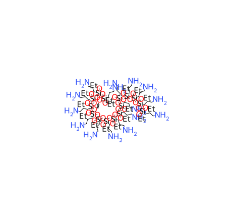 C#CO[Si](CCCN)(OCC)O[Si](CCCN)(OCC)O[Si](CCCN)(OCC)O[Si](CCCN)(OCC)O[Si](CCCN)(OCC)O[Si](CCCN)(OCC)O[Si](CCCN)(OCC)O[Si](CCCN)(OCC)O[Si](CCCN)(OCC)O[Si](CCCN)(OCC)O[Si](CCCN)(OCC)O[Si](CCCN)(OCC)O[Si](CCCN)(OCC)O[Si](CCCN)(OCC)O[Si](CCCN)(OCC)OCC